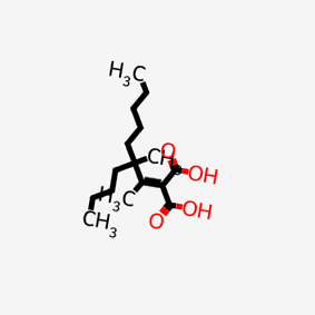 CCCCCC(C)(CCCC)C(C)=C(C(=O)O)C(=O)O